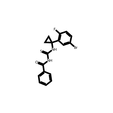 O=C(NC(=S)NC1(c2cc(Br)ccc2F)CC1)c1ccccc1